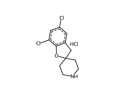 Cl.Clc1cc(Cl)c2c(c1)CC1(CCNCC1)O2